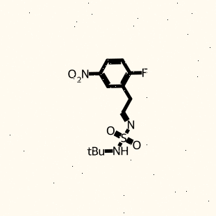 CC(C)(C)NS(=O)(=O)/N=C/Cc1cc([N+](=O)[O-])ccc1F